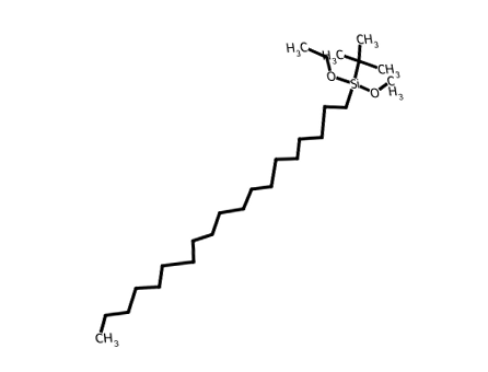 CCCCCCCCCCCCCCCCCCC[Si](OC)(OCC)C(C)(C)C